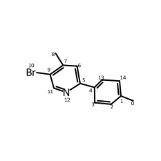 Cc1ccc(-c2cc(C)c(Br)cn2)cc1